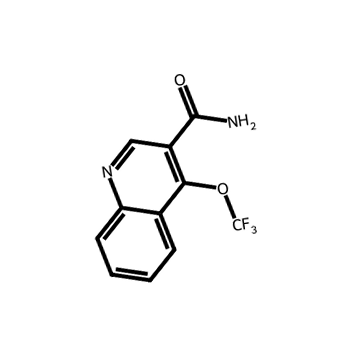 NC(=O)c1cnc2ccccc2c1OC(F)(F)F